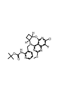 CSc1nc2c3c(nc(Cl)c(F)c3n1)O[C@H]1CC[C@H]1N2Cc1cccnc1NC(=O)OC(C)(C)C